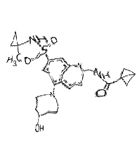 CC1(NS(=O)(=O)c2cc(N3CCC(O)CC3)c3ccc(NC(=O)C45CC4C5)nc3c2)CC1